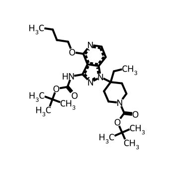 CCCCOc1nccc2c1c(NC(=O)OC(C)(C)C)nn2C1(CC)CCN(C(=O)OC(C)(C)C)CC1